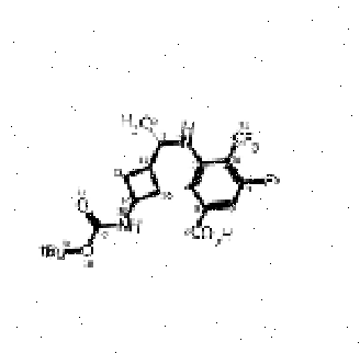 C[C@H](Nc1cc(C(=O)O)cc(F)c1C(F)(F)F)C1CC(NC(=O)OC(C)(C)C)C1